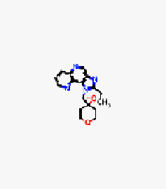 CCc1nc2cnc3cccnc3c2n1CC1(O)CCOCC1